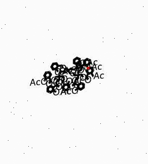 CC(=O)Cc1ccccc1C(=O)OCC(COCC(COCc1ccccc1OC(C)=O)(COCC(COC(=O)c1ccccc1OC(C)=O)(COC(=O)c1ccccc1OC(C)=O)COC(=O)c1ccccc1OC(C)=O)COC(=O)c1ccccc1OC(C)=O)(COC(=O)c1ccccc1OC(C)=O)COC(=O)c1ccccc1OC(C)=O